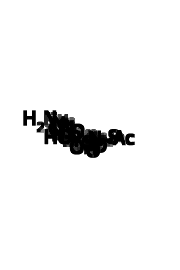 CC(=O)SCCOP(=O)(OC[C@H]1O[C@@H](N2C=CN3C(N)=CC=NC32)[C@@](C)(O)C1O)N(C)C